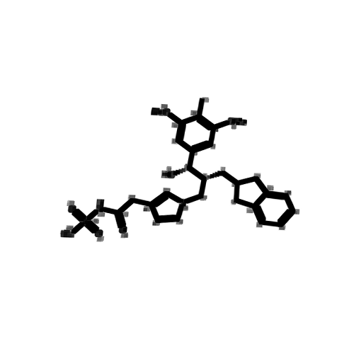 COc1cc([C@@H](O)[C@H](CC2Cc3ccccc3C2)Cn2ccc(CC(=O)NS(=O)(=O)C(C)(C)C)c2)cc(OC)c1C